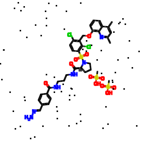 CS(=O)(=O)O.CS(=O)(=O)O.Cc1cc(C)c2cccc(OCc3c(Cl)ccc(S(=O)(=O)N4CCC[C@H]4C(=O)NCCCNC(=O)c4ccc(C=NN)cc4)c3Cl)c2n1